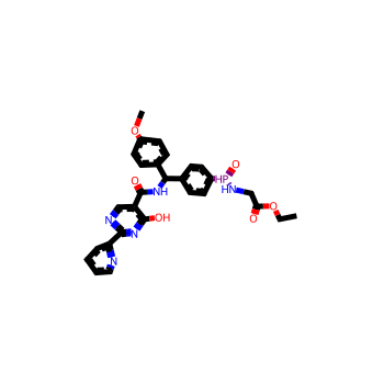 CCOC(=O)CN[PH](=O)c1ccc(C(NC(=O)c2cnc(-c3ccccn3)nc2O)c2ccc(OC)cc2)cc1